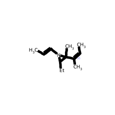 CC=CN1C(CC)C1(C)/C(C)=C\C